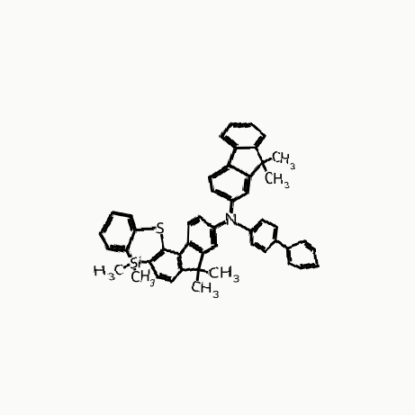 CC1(C)c2ccccc2-c2ccc(N(c3ccc(-c4ccccc4)cc3)c3ccc4c(c3)C(C)(C)c3ccc5c(c3-4)Sc3ccccc3[Si]5(C)C)cc21